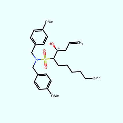 C=CC[C@H](O)C(CCCCCOC)S(=O)(=O)N(Cc1ccc(OC)cc1)Cc1ccc(OC)cc1